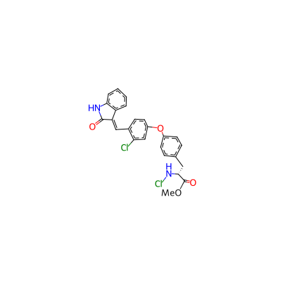 COC(=O)[C@@H](Cc1ccc(Oc2ccc(/C=C3/C(=O)Nc4ccccc43)c(Cl)c2)cc1)NCl